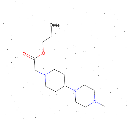 COCCOC(=O)CN1CCC(N2CCN(C)CC2)CC1